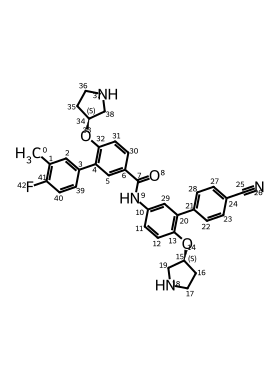 Cc1cc(-c2cc(C(=O)Nc3ccc(O[C@H]4CCNC4)c(-c4ccc(C#N)cc4)c3)ccc2O[C@H]2CCNC2)ccc1F